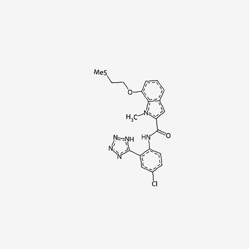 CSCCOc1cccc2cc(C(=O)Nc3ccc(Cl)cc3-c3nnn[nH]3)n(C)c12